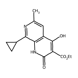 CCOC(=O)c1c(O)c2cc(C)nc(C3CC3)c2[nH]c1=O